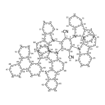 N#Cc1c(-n2c3ccccc3c3ccccc32)c(-n2c3ccccc3c3ccccc32)c(C#N)c(-n2c3cccc(-c4cccc5c6ccccc6c6ccccc6c45)c3c3c4sc5ccccc5c4ccc32)c1-n1c2ccccc2c2ccccc21